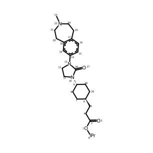 CC(C)OC(=O)CC[C@H]1CC[C@H](N2CCN(c3ccc4c(c3)CCN(C)CC4)C2=O)CC1